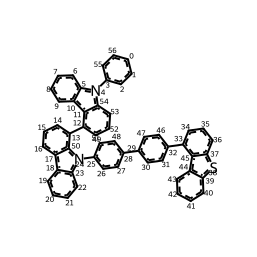 c1ccc(-n2c3ccccc3c3c(-c4cccc5c6ccccc6n(-c6ccc(-c7ccc(-c8cccc9sc%10ccccc%10c89)cc7)cc6)c45)cccc32)cc1